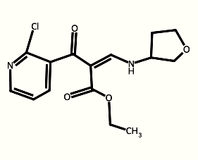 CCOC(=O)C(=CNC1CCOC1)C(=O)c1cccnc1Cl